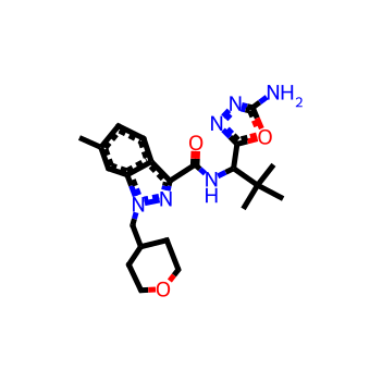 Cc1ccc2c(C(=O)NC(c3nnc(N)o3)C(C)(C)C)nn(CC3CCOCC3)c2c1